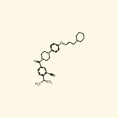 CC(C)c1ccc(C(=O)N2CCN(c3ccc(OCCCN4CCCCC4)cc3)CC2)cc1C#N